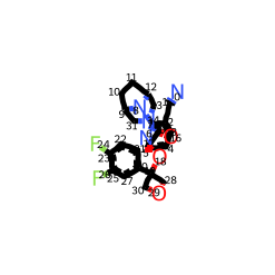 N#Cc1cccnc1N1C2CCC1CN(C(=O)COC1(c3ccc(F)c(F)c3)COC1)C2